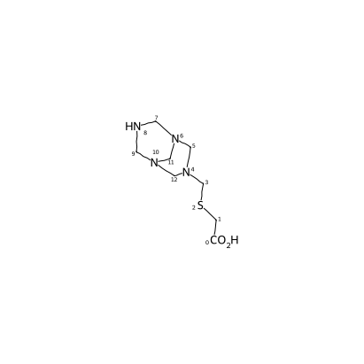 O=C(O)CSCN1CN2CNCN(C2)C1